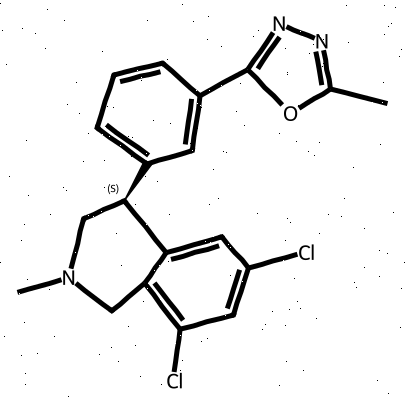 Cc1nnc(-c2cccc([C@@H]3CN(C)Cc4c(Cl)cc(Cl)cc43)c2)o1